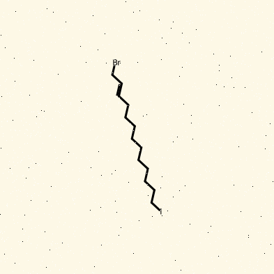 BrCC=CCCCCCCCCCCI